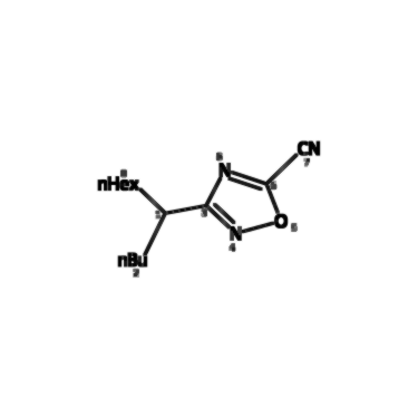 CCCCCCC(CCCC)c1noc(C#N)n1